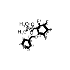 CN(C)S(=O)(=O)c1c(F)c(F)c(F)c(F)c1OCc1ccncc1